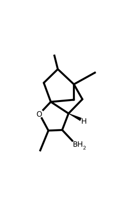 BC1C(C)OC23CC(C)C(C)(C[C@H]12)C3